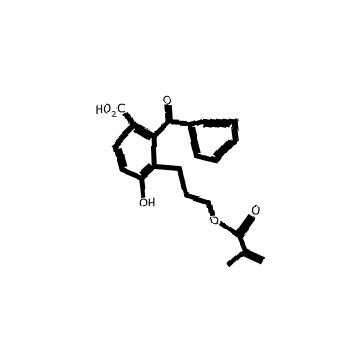 C=C(C)C(=O)OCCCc1c(O)ccc(C(=O)O)c1C(=O)c1ccccc1